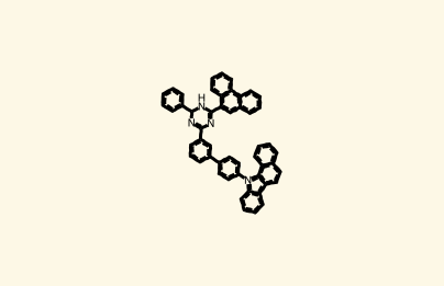 c1ccc(C2N=C(c3cccc(-c4ccc(-n5c6ccccc6c6ccc7ccccc7c65)cc4)c3)N=C(c3cc4ccccc4c4ccccc34)N2)cc1